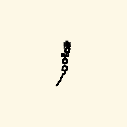 CCCCCCCC[C@H]1CC[C@H](c2ccc(C(=O)Oc3ccc(S(F)(F)(F)(F)F)cc3)cc2)CC1